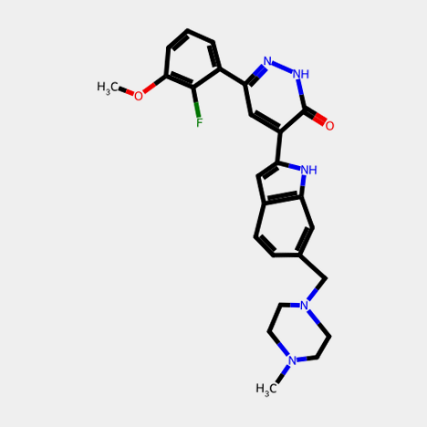 COc1cccc(-c2cc(-c3cc4ccc(CN5CCN(C)CC5)cc4[nH]3)c(=O)[nH]n2)c1F